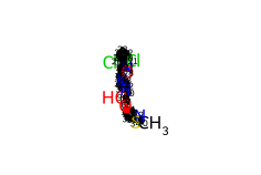 Cc1nc2cc(OC[C@H](O)CN3CCN(Cc4cc(-c5c(Cl)cccc5Cl)no4)CC3)ccc2s1